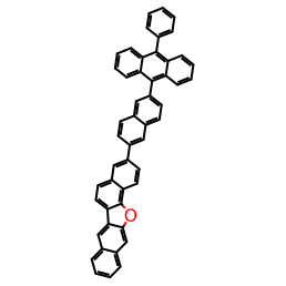 c1ccc(-c2c3ccccc3c(-c3ccc4cc(-c5ccc6c(ccc7c8cc9ccccc9cc8oc67)c5)ccc4c3)c3ccccc23)cc1